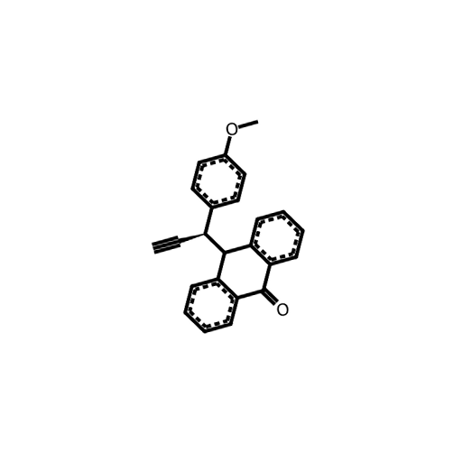 C#C[C@@H](c1ccc(OC)cc1)C1c2ccccc2C(=O)c2ccccc21